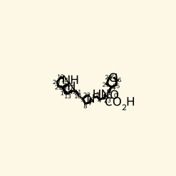 O=C(N[C@@H](CCN1CC[C@@H](CCc2ccc3c(n2)NCCC3)C1)C(=O)O)C1CCOCC1